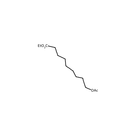 CCOC(=O)CCCCCCCCOC(C)=O